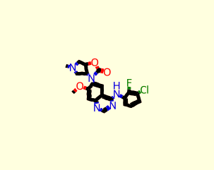 COc1cc2ncnc(Nc3cccc(Cl)c3F)c2cc1N1C(=O)OC2CN(C)CC21